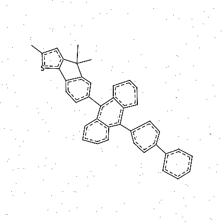 Cc1cc2c(s1)-c1ccc(-c3c4ccccc4c(-c4ccc(-c5ccccc5)cc4)c4ccccc34)cc1C2(C)C